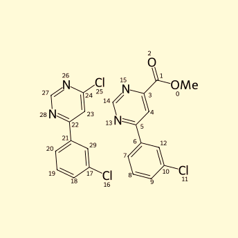 COC(=O)c1cc(-c2cccc(Cl)c2)ncn1.Clc1cccc(-c2cc(Cl)ncn2)c1